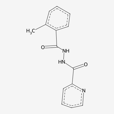 Cc1ccccc1C(=O)NNC(=O)c1ccccn1